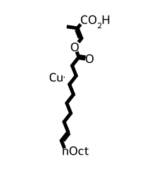 CCCCCCCC/C=C/CCCCCCCC(=O)OC=C(C)C(=O)O.[Cu]